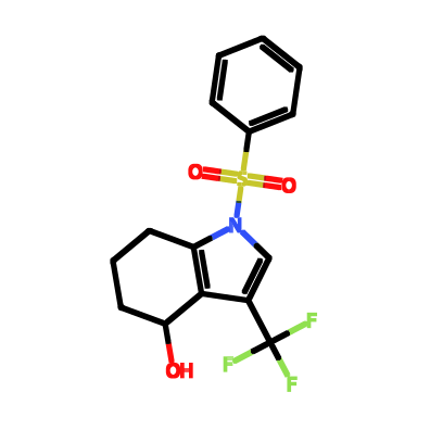 O=S(=O)(c1ccccc1)n1cc(C(F)(F)F)c2c1CCCC2O